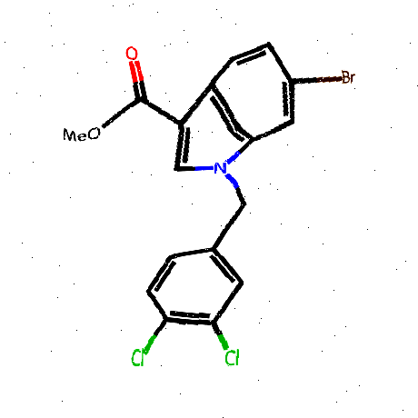 COC(=O)c1cn(Cc2ccc(Cl)c(Cl)c2)c2cc(Br)ccc12